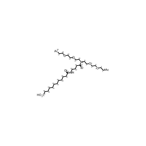 CC(=O)CCOCCOCCN(CCOCCOCCC(C)=O)C(=O)CCCNC(=O)CCCCCCCCCCC(=O)O